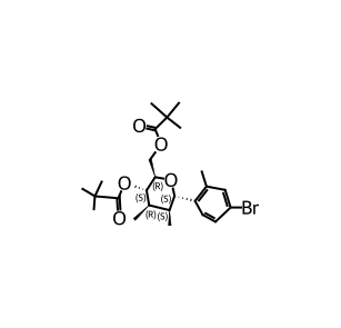 Cc1cc(Br)ccc1[C@H]1O[C@H](COC(=O)C(C)(C)C)[C@@H](OC(=O)C(C)(C)C)[C@H](C)[C@@H]1C